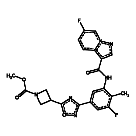 COC(=O)N1CC(c2nc(-c3cc(F)c(C)c(NC(=O)c4cnn5cc(F)ccc45)c3)no2)C1